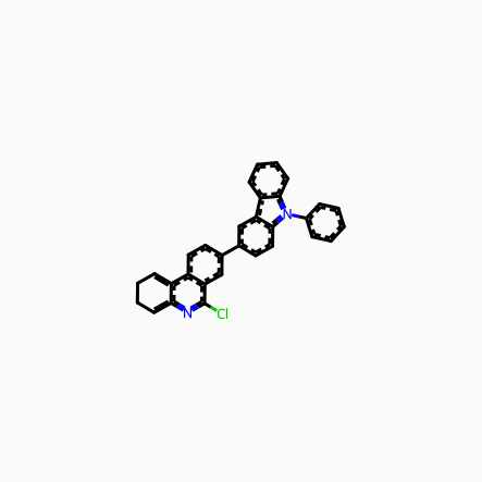 Clc1nc2c(c3ccc(-c4ccc5c(c4)c4ccccc4n5-c4ccccc4)cc13)=CCCC=2